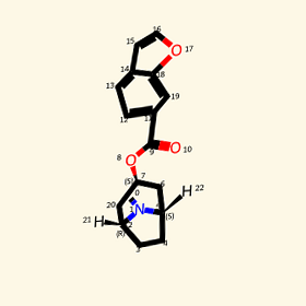 CN1[C@@H]2CC[C@H]1C[C@H](OC(=O)c1ccc3ccoc3c1)C2